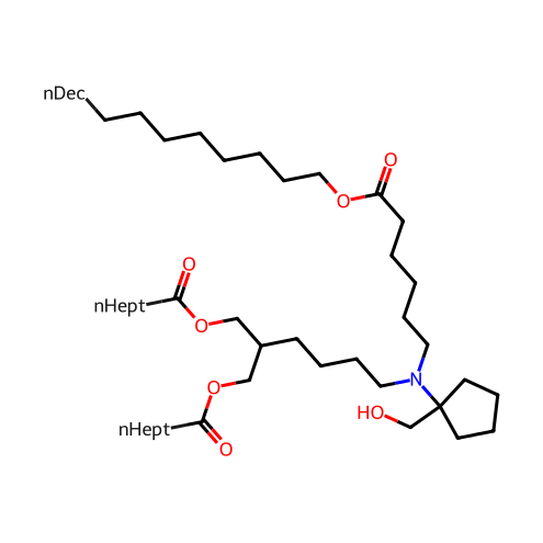 CCCCCCCCCCCCCCCCCCOC(=O)CCCCCN(CCCCC(COC(=O)CCCCCCC)COC(=O)CCCCCCC)C1(CO)CCCC1